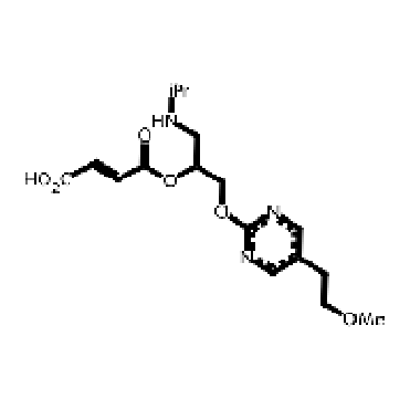 COCCc1cnc(OCC(CNC(C)C)OC(=O)/C=C/C(=O)O)nc1